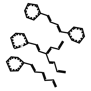 C(C=Cc1ccccc1)=Cc1ccccc1.C=CC=CC(C=Cc1ccccc1)=CC=C.C=CC=CC=Cc1ccccc1